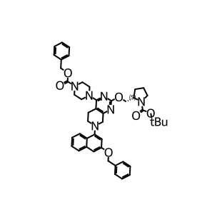 CC(C)(C)OC(=O)N1CCC[C@H]1COc1nc2c(c(N3CCN(C(=O)OCc4ccccc4)CC3)n1)CCN(c1cc(OCc3ccccc3)cc3ccccc13)C2